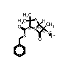 [C-]#[N+][C@]1(C)C(=O)N2[C@@H](C(=O)SCc3ccccc3)C(C)(C)S[C@@H]21